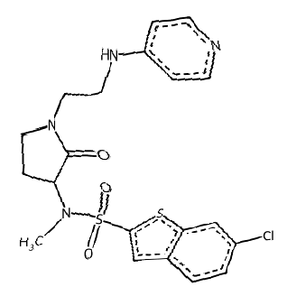 CN(C1CCN(CCNc2ccncc2)C1=O)S(=O)(=O)c1cc2ccc(Cl)cc2s1